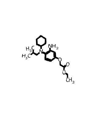 CCOC(=O)COc1ccc(N(CC(C)C)C2CCCCC2)c(N)c1